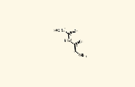 NCC(=O)NC(=O)C(=O)O